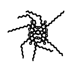 CCCCCCCCCCCCN1C(=O)C(=c2[nH]c(=C3C(=O)N(CCCCCCCCCCCC)C(=O)N(CCCCCCCCCCCC)C3=O)c3cc4c(=C5C(=O)N(CCCCCCCCCCCC)C(=O)N(CCCCCCCCCCCC)C5=O)[nH]c(=C5C(=O)N(CCCCCCCCCCCC)C(=O)N(CCCCCCCCCCCC)C5=O)c4cc23)C(=O)N(CCCCCCCCCCCC)C1=O